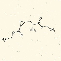 CCOC(=O)[C@H](N)C[C@H]1C[C@@H]1C(=O)OCC